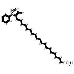 Cc1nnn(-c2ccccc2)c1CCCCCCCCCCCCCCCCCCCC(=O)O